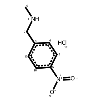 CNCc1ccc([N+](=O)[O-])cc1.Cl